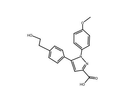 COc1ccc(-n2nc(C(=O)O)cc2-c2ccc(CCO)cc2)cc1